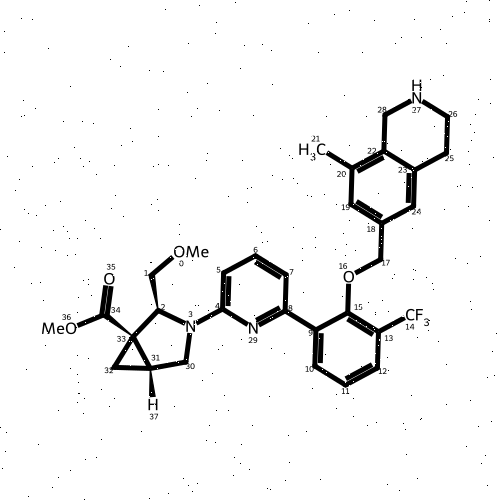 COC[C@H]1N(c2cccc(-c3cccc(C(F)(F)F)c3OCc3cc(C)c4c(c3)CCNC4)n2)C[C@@H]2C[C@@]21C(=O)OC